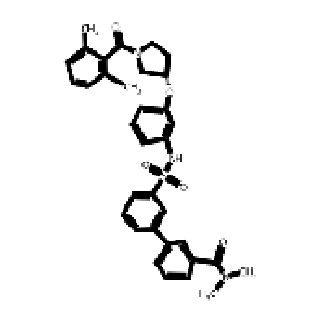 Cc1cccc(C)c1C(=O)N1CC[C@H](Oc2cccc(NS(=O)(=O)c3cccc(-c4cccc(C(=O)N(C)C)c4)c3)c2)C1